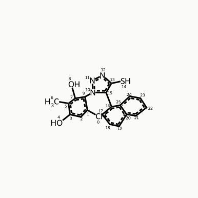 Cc1cc(O)c(C)c(O)c1-n1nnc(S)c1-c1cccc2ccccc12